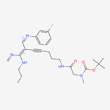 C=N/C(NCCC)=C(C#CCCCNC(=O)CN(C)C(=O)OC(C)(C)C)\C=N/c1cccc(F)c1